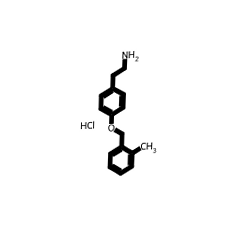 Cc1ccccc1COc1ccc(CCN)cc1.Cl